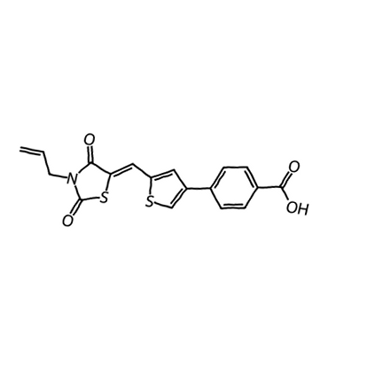 C=CCN1C(=O)S/C(=C\c2cc(-c3ccc(C(=O)O)cc3)cs2)C1=O